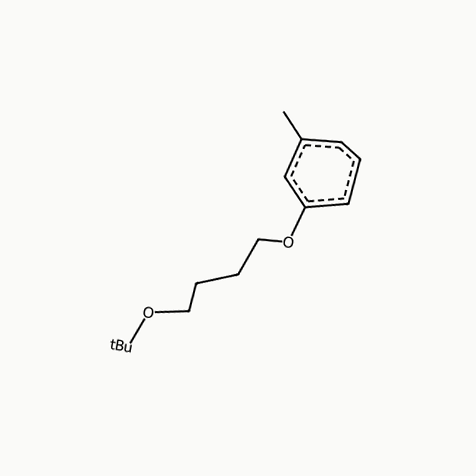 Cc1cccc(OCCCCOC(C)(C)C)c1